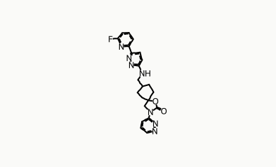 O=C1OC2(CCC(CNc3ccc(-c4cccc(F)n4)nn3)CC2)CN1c1cccnn1